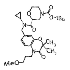 COCCCN1C(=O)C(C)(C)Oc2cc(CN(C(=O)[C@H]3CN(C(=O)OC(C)(C)C)CCO3)C3CC3)ccc21